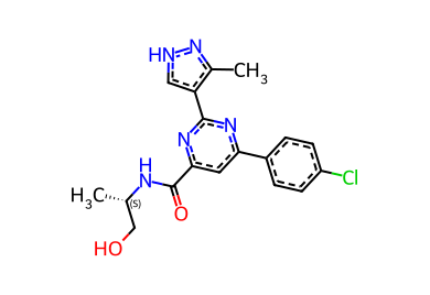 Cc1n[nH]cc1-c1nc(C(=O)N[C@@H](C)CO)cc(-c2ccc(Cl)cc2)n1